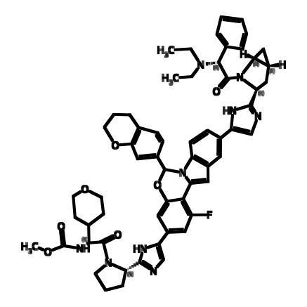 CCN(CC)[C@@H](C(=O)N1[C@@H]2C[C@@H]2C[C@H]1c1ncc(-c2ccc3c(c2)cc2n3C(c3ccc4c(c3)OCCC4)Oc3cc(-c4cnc([C@@H]5CCCN5C(=O)[C@@H](NC(=O)OC)C5CCOCC5)[nH]4)cc(F)c3-2)[nH]1)c1ccccc1